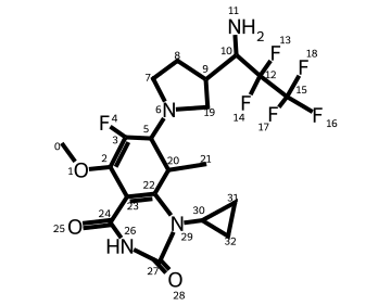 COC1=C(F)C(N2CCC(C(N)C(F)(F)C(F)(F)F)C2)C(C)c2c1c(=O)[nH]c(=O)n2C1CC1